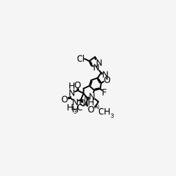 C[C@H]1CN2c3c(cc4c(-n5cc(Cl)cn5)noc4c3F)CC3(C(=O)NC(=O)NC3=O)[C@@H]2[C@@H](C)O1